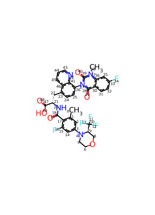 Cc1cc(N2CCOC[C@@H]2C(F)(F)F)cc(F)c1C(=O)N[C@@H](Cc1ccc(-n2c(=O)c3ccc(F)cc3n(C)c2=O)c2ncccc12)C(=O)O